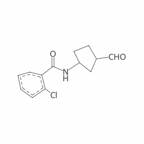 O=CC1CCC(NC(=O)c2ccccc2Cl)C1